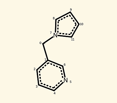 [CH](c1cccnc1)n1cccc1